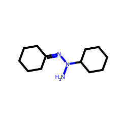 NN(N=C1CCCCC1)C1CCCCC1